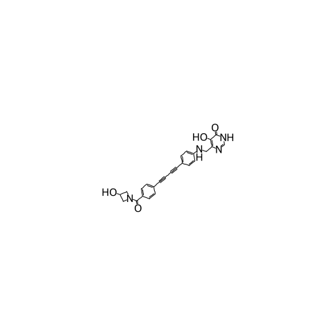 O=C(c1ccc(C#CC#Cc2ccc(NCc3nc[nH]c(=O)c3O)cc2)cc1)N1CC(O)C1